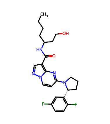 CCCCC(CCO)NC(=O)c1cnn2ccc(N3CCC[C@@H]3c3cc(F)ccc3F)nc12